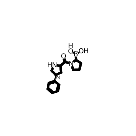 O=C(C1C[C@@H](c2ccccc2)CN1)N1CCCC1B(O)O